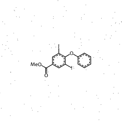 COC(=O)c1cc(I)c(Oc2ccccc2)c(I)c1